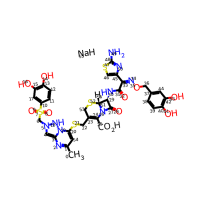 CC1=NC2=CN(CS(=O)(=O)c3ccc(O)c(O)c3)NN2C(SCC2=C(C(=O)O)N3C(=O)[C@@H](NC(=O)/C(=N\OCc4ccc(O)c(O)c4)c4csc(N)n4)[C@H]3SC2)=C1.[NaH]